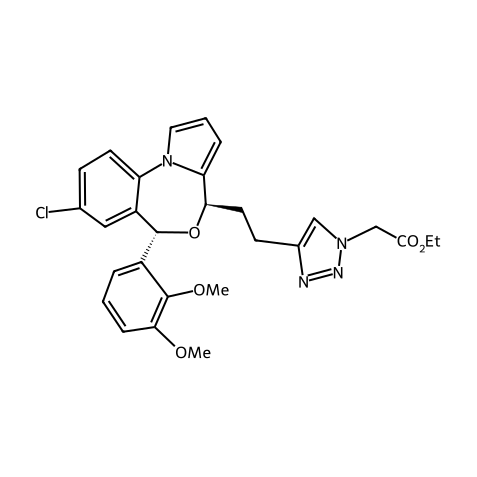 CCOC(=O)Cn1cc(CC[C@H]2O[C@H](c3cccc(OC)c3OC)c3cc(Cl)ccc3-n3cccc32)nn1